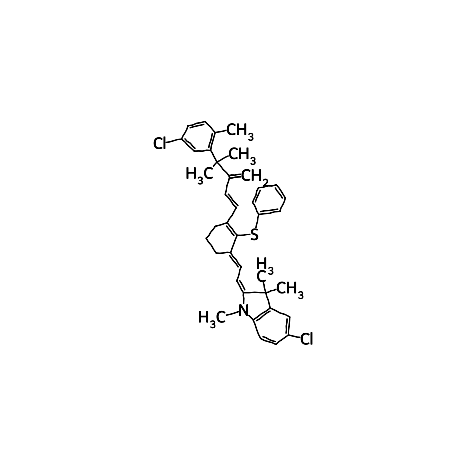 C=C(/C=C/C1=C(Sc2ccccc2)C(=C/C=C2/N(C)c3ccc(Cl)cc3C2(C)C)/CCC1)C(C)(C)c1cc(Cl)ccc1C